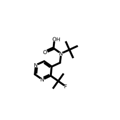 CC(C)(F)c1ncncc1CN(C(=O)O)C(C)(C)C